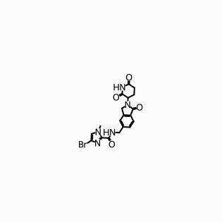 Cn1cc(Br)nc1C(=O)NCc1ccc2c(c1)CN(C1CCC(=O)NC1=O)C2=O